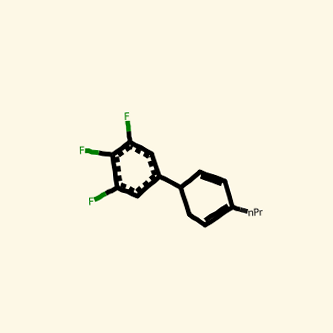 CCCC1=CCC(c2cc(F)c(F)c(F)c2)C=C1